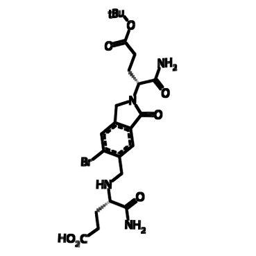 CC(C)(C)OC(=O)CC[C@H](C(N)=O)N1Cc2cc(Br)c(CN[C@@H](CCC(=O)O)C(N)=O)cc2C1=O